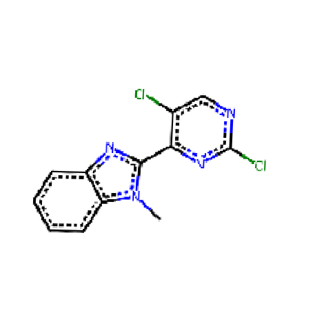 Cn1c(-c2nc(Cl)ncc2Cl)nc2ccccc21